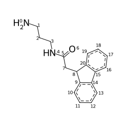 NCCCNC(=O)CC1c2ccccc2-c2ccccc21